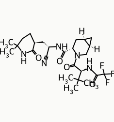 CC1(C)CC[C@@H](C[C@@H](C#N)NC(=O)[C@@H]2C[C@H]3C[C@H]3CN2C(=O)[C@@H](NC(=O)C(F)(F)F)C(C)(C)C)C(=O)N1